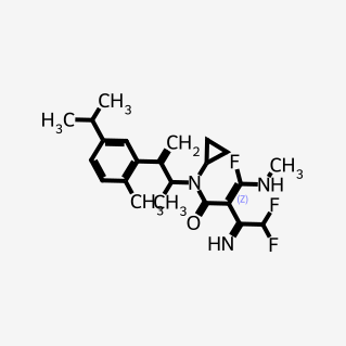 C=C(c1cc(C(C)C)ccc1C)C(C)N(C(=O)/C(C(=N)C(F)F)=C(\F)NC)C1CC1